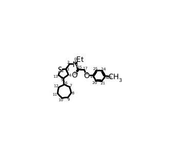 CCN(CC1CC(C2CCCCCC2)CS1)C(=O)COc1ccc(C)cc1